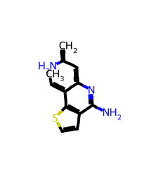 C=C(N)/C=c1/nc(N)c2ccsc2/c1=C/C